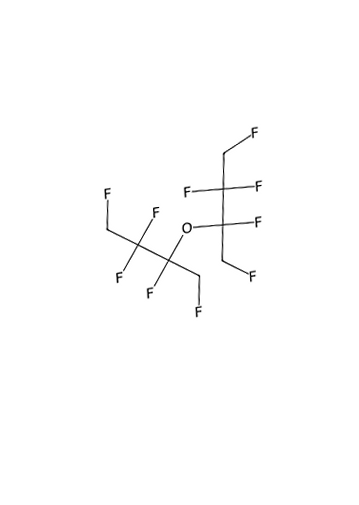 FCC(F)(F)C(F)(CF)OC(F)(CF)C(F)(F)CF